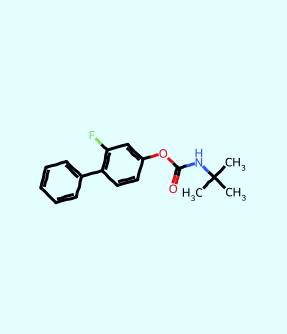 CC(C)(C)NC(=O)Oc1ccc(-c2ccccc2)c(F)c1